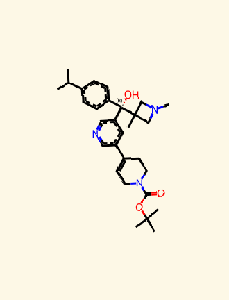 CC(C)c1ccc([C@](O)(c2cncc(C3=CCN(C(=O)OC(C)(C)C)CC3)c2)C2(C)CN(C)C2)cc1